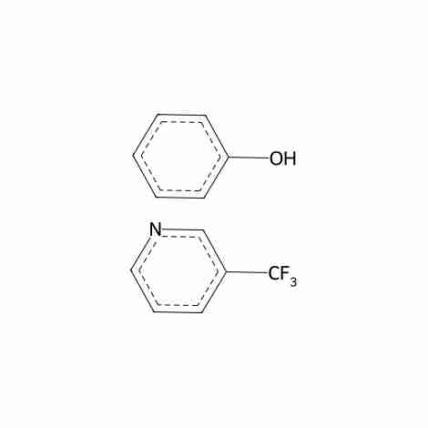 FC(F)(F)c1cccnc1.Oc1ccccc1